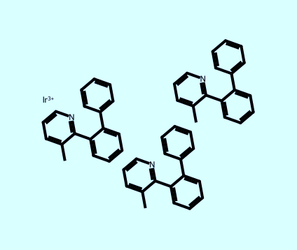 Cc1cccnc1-c1ccccc1-c1ccccc1.Cc1cccnc1-c1ccccc1-c1ccccc1.Cc1cccnc1-c1ccccc1-c1ccccc1.[Ir+3]